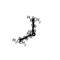 C=C(C)C(=O)OCCOC(=O)CCCC(=O)NC1CCCCC1NC(=O)CCCC(=O)OCCOC(=O)C(=C)C